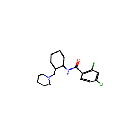 O=C(NC1CCCCC1CN1CCCCC1)c1ccc(Cl)cc1F